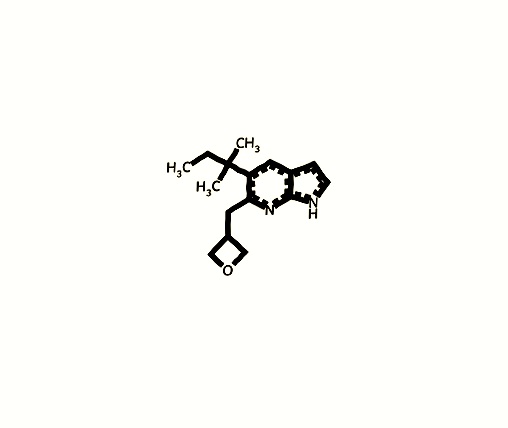 CCC(C)(C)c1cc2cc[nH]c2nc1CC1COC1